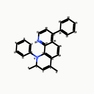 CC1=CC(C)N(c2ccccc2)c2c1ccc1c(-c3ccccc3)ccnc21